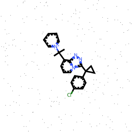 CC(C)(c1cccn2c(C3(c4ccc(Cl)cc4)CC3)nnc12)[n+]1ccccc1